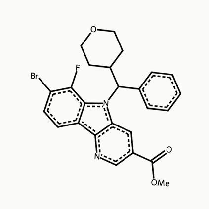 COC(=O)c1cnc2c3ccc(Br)c(F)c3n(C(c3ccccc3)C3CCOCC3)c2c1